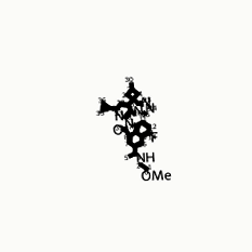 COCCNC(C)c1cc2c3c(ccc(F)c3c1)N(c1cc(C3(c4nncn4C)CC(C)C3)cc(C3CC3)n1)C2=O